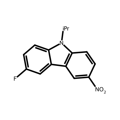 CC(C)n1c2ccc(F)cc2c2cc([N+](=O)[O-])ccc21